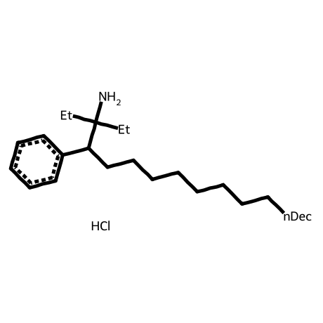 CCCCCCCCCCCCCCCCCCC(c1ccccc1)C(N)(CC)CC.Cl